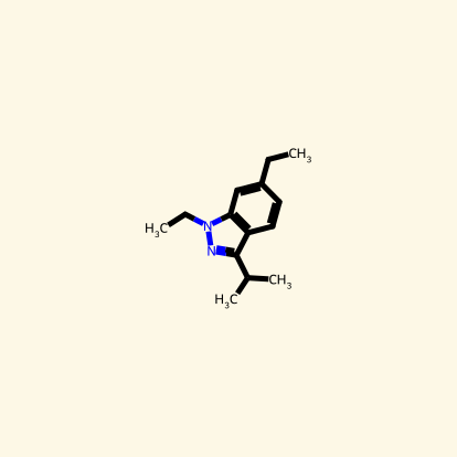 CCc1ccc2c(C(C)C)nn(CC)c2c1